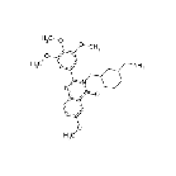 COc1ccc2nc(-c3cc(OC)c(OC)c(OC)c3)n(CC3CCCC(CN)C3)c(=O)c2c1